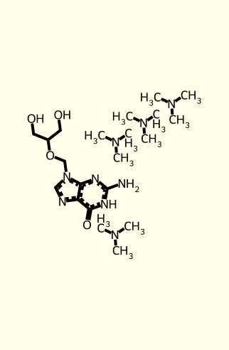 CN(C)C.CN(C)C.CN(C)C.CN(C)C.Nc1nc2c(ncn2COC(CO)CO)c(=O)[nH]1